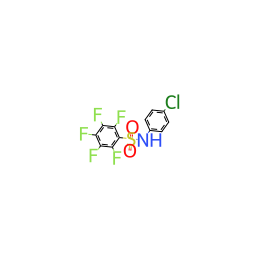 O=S(=O)(Nc1ccc(Cl)cc1)c1c(F)c(F)c(F)c(F)c1F